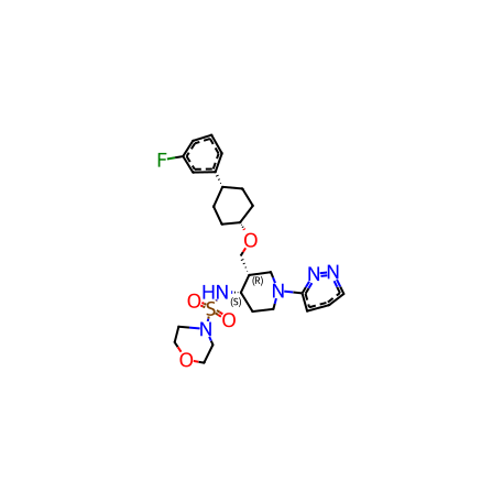 O=S(=O)(N[C@H]1CCN(c2cccnn2)C[C@H]1CO[C@H]1CC[C@@H](c2cccc(F)c2)CC1)N1CCOCC1